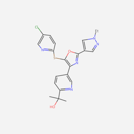 CCn1cc(-c2nc(-c3ccc(C(C)(C)O)nc3)c(Sc3ccc(Cl)cn3)o2)cn1